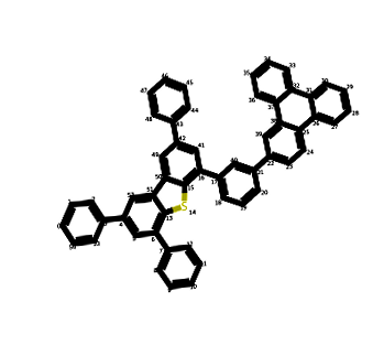 c1ccc(-c2cc(-c3ccccc3)c3sc4c(-c5cccc(-c6ccc7c8ccccc8c8ccccc8c7c6)c5)cc(-c5ccccc5)cc4c3c2)cc1